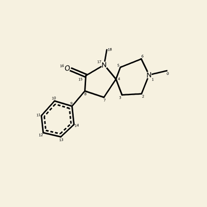 CN1CCC2(CC1)CC(c1ccccc1)C(=O)N2C